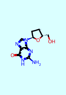 Nc1nc2c(ncn2[C@H]2C[CH][C@H](CO)O2)c(=O)[nH]1